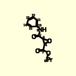 CC(C)OC(=O)C1OC1C(=O)Nc1ccccc1